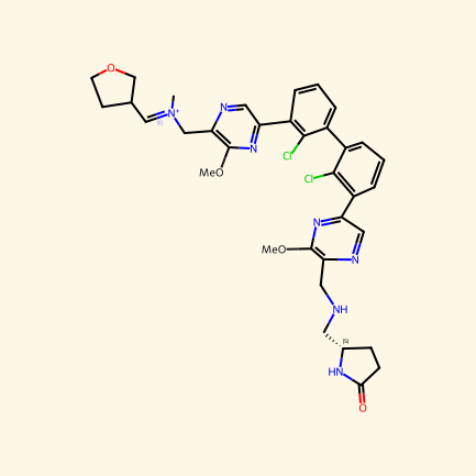 COc1nc(-c2cccc(-c3cccc(-c4cnc(C/[N+](C)=C/C5CCOC5)c(OC)n4)c3Cl)c2Cl)cnc1CNC[C@@H]1CCC(=O)N1